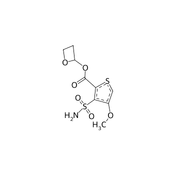 COc1csc(C(=O)OC2CCO2)c1S(N)(=O)=O